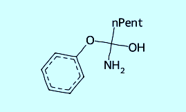 CCCCCC(N)(O)Oc1ccccc1